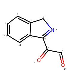 O=CC(=O)C1=NCc2ccccc21